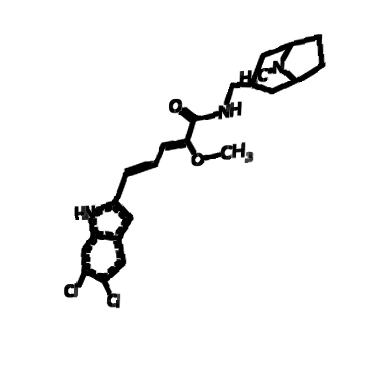 CO/C(=C\C=C\c1cc2cc(Cl)c(Cl)cc2[nH]1)C(=O)NCC1CC2CCC(C1)N2C